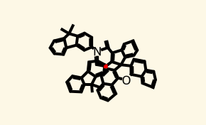 C=C(C1=C(/C=C\C)C2(c3ccccc31)c1ccc3ccccc3c1Oc1c2ccc2ccccc12)N(c1ccc2c(c1)-c1ccccc1C2(C)C)c1ccc2c(c1)-c1ccccc1C2(C)C